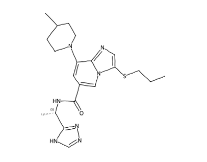 CCCSc1cnc2c(N3CCC(C)CC3)cc(C(=O)N[C@@H](C)c3nnc[nH]3)cn12